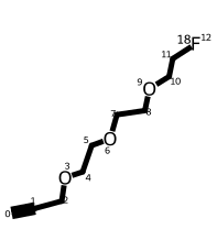 C#CCOCCOCCOCC[18F]